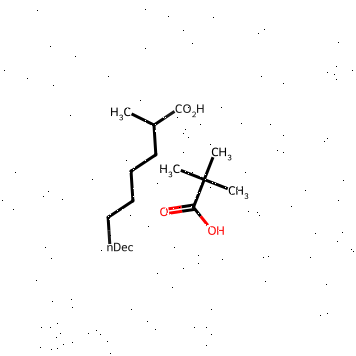 CC(C)(C)C(=O)O.CCCCCCCCCCCCCCC(C)C(=O)O